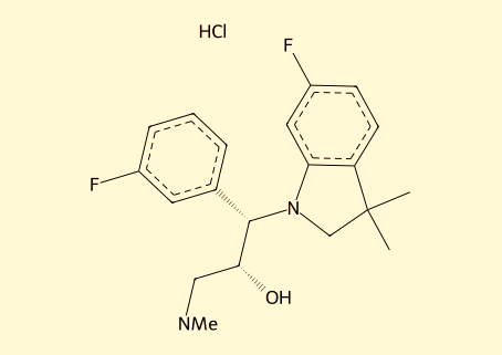 CNC[C@@H](O)[C@H](c1cccc(F)c1)N1CC(C)(C)c2ccc(F)cc21.Cl